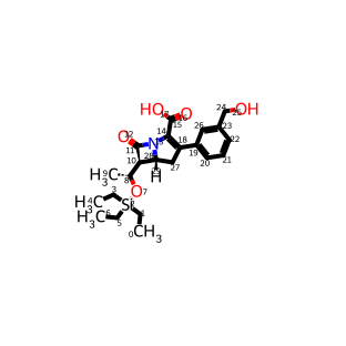 CC[Si](CC)(CC)O[C@H](C)[C@H]1C(=O)N2C(C(=O)O)=C(c3cccc(CO)c3)C[C@H]12